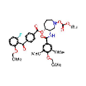 COCOc1cccc(F)c1C(=O)c1ccc(C(=O)O[C@@H]2CCCN(OC(=O)OC(C)(C)C)C[C@H]2NC(=O)c2cc(OC)c(OCOC)c(OC)c2)cc1